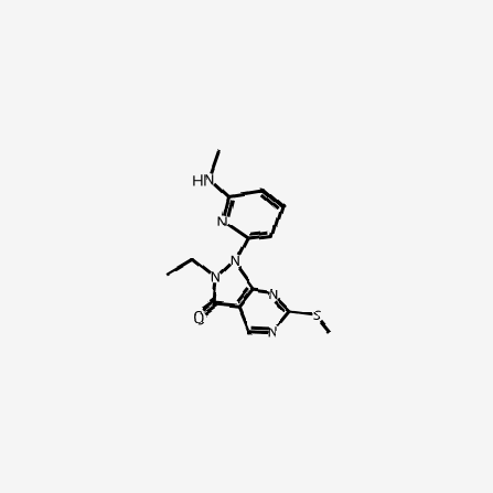 CCn1c(=O)c2cnc(SC)nc2n1-c1cccc(NC)n1